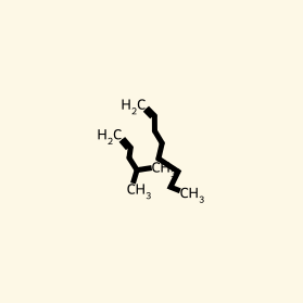 C=CCC(C)C.C=CCCCCCC